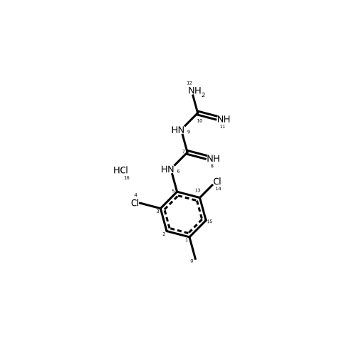 Cc1cc(Cl)c(NC(=N)NC(=N)N)c(Cl)c1.Cl